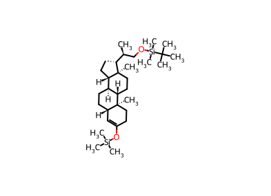 C[C@@H](CO[Si](C)(C)C(C)(C)C)[C@H]1CC[C@H]2[C@@H]3CC[C@H]4C=C(O[Si](C)(C)C)CC[C@]4(C)[C@H]3CC[C@]12C